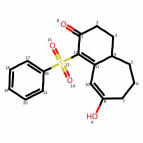 O=C1CCC2CCCC(O)=CC2=C1S(=O)(=O)c1ccccc1